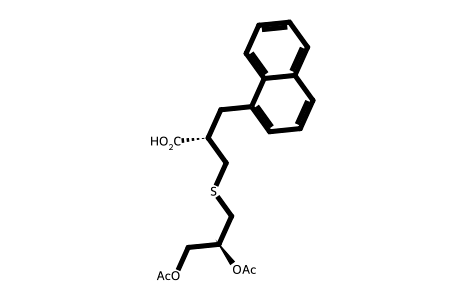 CC(=O)OC[C@@H](CSC[C@@H](Cc1cccc2ccccc12)C(=O)O)OC(C)=O